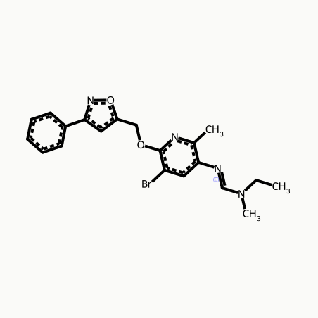 CCN(C)/C=N/c1cc(Br)c(OCc2cc(-c3ccccc3)no2)nc1C